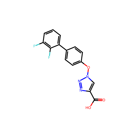 O=C(O)c1cn(Oc2ccc(-c3cccc(F)c3F)cc2)nn1